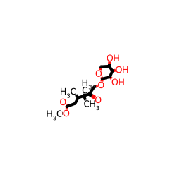 COC(=O)CC(C)C(C)(C)C(=O)COC1OCC(O)C(O)C1O